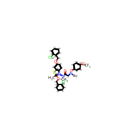 CC(=O)N(CC(=O)N(C)N1c2ccc(OCc3ccccc3Cl)cc2SC1(C)OCc1ccccc1Cl)Oc1ccc(OC(F)(F)F)cc1